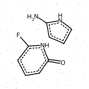 Nc1ccc[nH]1.O=c1cccc(F)[nH]1